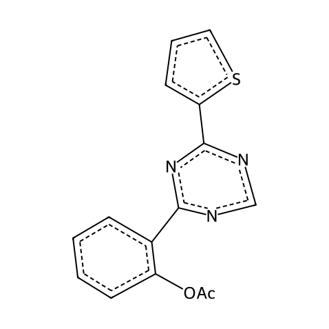 CC(=O)Oc1ccccc1-c1ncnc(-c2cccs2)n1